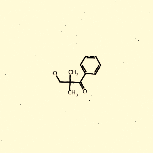 CC(C)(C[O])C(=O)c1ccccc1